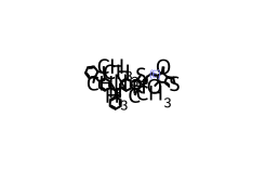 CC1(C)c2cc(N(c3ccccc3)c3ccc4c(c3)C(C)(C)C3C=CC=CC43C)ncc2-c2sc(/C=C3/C(=O)c4cscc4C3O)cc21